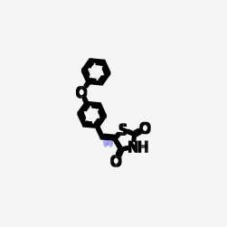 O=C1NC(=O)/C(=C/c2ccc(Oc3ccccc3)cc2)S1